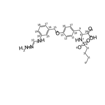 CCCCS(=O)(=O)NC(Cc1ccc(OCc2cccc(NC=NN)c2)cc1)C(=O)O